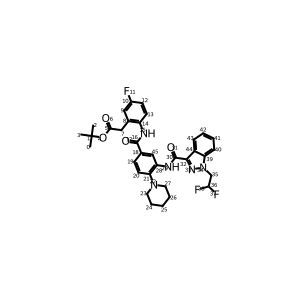 CC(C)(C)OC(=O)Cc1cc(F)ccc1NC(=O)c1ccc(N2CCCCC2)c(NC(=O)c2nn(CC(F)F)c3ccccc23)c1